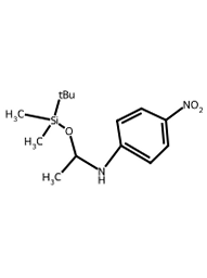 CC(Nc1ccc([N+](=O)[O-])cc1)O[Si](C)(C)C(C)(C)C